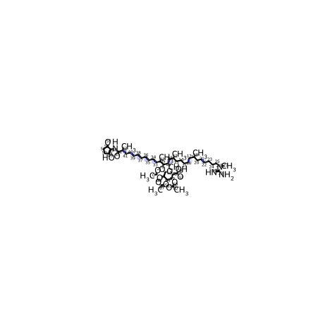 CC(=O)OC1C(OC(/C(C)=C/C(C)CCC/C=C/C(C)C/C=C/CCCN(C)C(=N)N)C(C)/C=C/C=C/C=C/C=C/C=C(\C)C(=O)NC2=C(O)CCC2=O)OC(C(=O)O)C(OC(C)=O)C1OC(C)=O